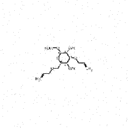 C=CCOC[C@H]1O[C@@H](OCCCCCCCC)[C@H](OC(C)=O)[C@@H](OCC=C)[C@H]1OC(C)=O